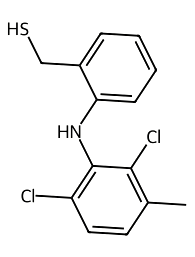 Cc1ccc(Cl)c(Nc2ccccc2CS)c1Cl